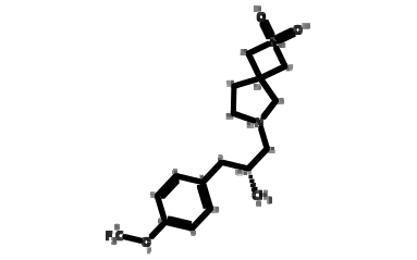 C[C@H](Cc1ccc(OC(F)(F)F)cc1)CN1CCC2(C1)CS(=O)(=O)C2